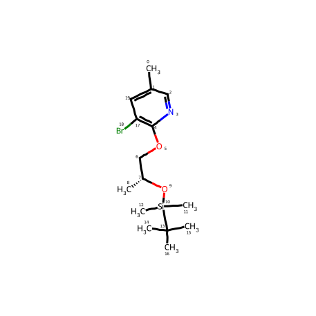 Cc1cnc(OC[C@@H](C)O[Si](C)(C)C(C)(C)C)c(Br)c1